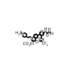 CCNC(=O)Nc1cc(-c2nc(C(F)(F)F)cs2)c(-c2ccc3c(c2)c(=O)c(C(=O)OCC)cn3CCC2CCN(C)CC2)cn1